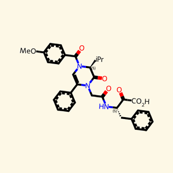 COc1ccc(C(=O)N2C=C(c3ccccc3)N(CC(=O)N[C@@H](Cc3ccccc3)C(=O)C(=O)O)C(=O)[C@@H]2C(C)C)cc1